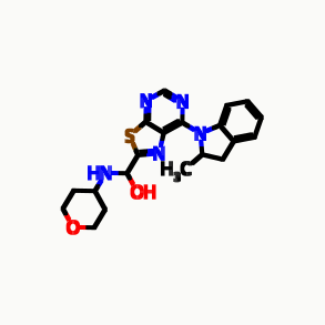 CC1Cc2ccccc2N1c1ncnc2sc(C(O)NC3CCOCC3)nc12